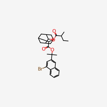 CCC(C)C(=O)OC1C2CC3CC1CC(C2)C3C(=O)OC(C)(C)c1cc(Br)c2ccccc2c1